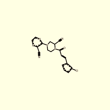 N#Cc1nccnc1N1CCN(C(=O)/C=C/c2cccc(Cl)c2)C(C#N)C1